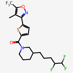 Cc1c(-c2ccc(C(=O)N3CCCC(CCCC(F)C(F)F)C3)s2)noc1C(F)(F)F